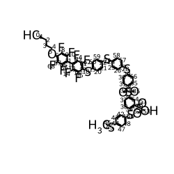 C#CCCCOc1c(F)c(F)c(-c2c(F)c(F)c(Sc3ccc(Sc4ccc(Sc5ccc(S(=O)(=O)c6ccc(Sc7ccc(SC)cc7)c(S(=O)(=O)O)c6)cc5)cc4)cc3)c(F)c2F)c(F)c1F